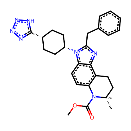 COC(=O)N1c2ccc3c(nc(Cc4ccccc4)n3[C@H]3CC[C@@H](c4nnn[nH]4)CC3)c2CC[C@@H]1C